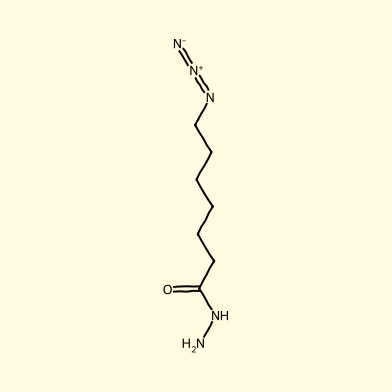 [N-]=[N+]=NCCCCCCC(=O)NN